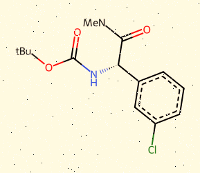 CNC(=O)[C@@H](NC(=O)OC(C)(C)C)c1cccc(Cl)c1